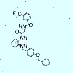 O=C(CNC(=O)c1cccc(C(F)(F)F)c1)N[C@H]1CCCC[C@@H]1NCc1ccc(OCc2ccccc2)cc1